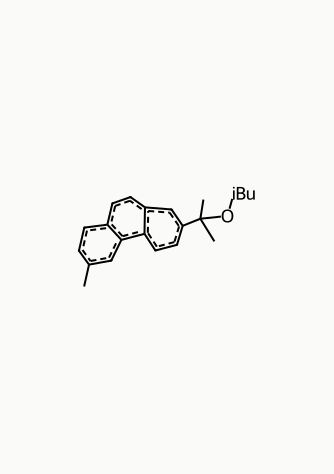 CCC(C)OC(C)(C)c1ccc2c(ccc3ccc(C)cc32)c1